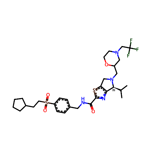 CC(C)[C@H]1c2nc(C(=O)NCc3ccc(S(=O)(=O)CCC4CCCC4)cc3)sc2CN1CC1CN(CC(F)(F)F)CCO1